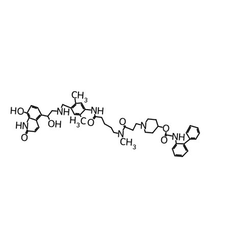 Cc1cc(NC(=O)CCCCN(C)C(=O)CCN2CCC(OC(=O)Nc3ccccc3-c3ccccc3)CC2)c(C)cc1CNCC(O)c1ccc(O)c2[nH]c(=O)ccc12